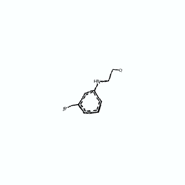 ClCCNc1cccc(Br)c1